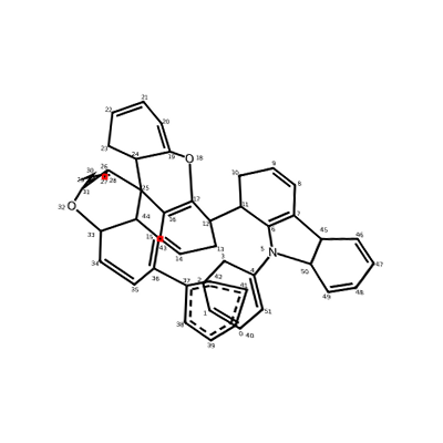 C1=CCCC(N2C3=C(C=CCC3C3CC=CC4=C3OC3=CC=CCC3C43C4C=CC=CC4OC4C=CC(c5ccccc5)=CC43)C3C=CC=CC32)=C1